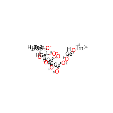 [O]=[GeH][O-].[O]=[GeH][O-].[O]=[GeH][O-].[O]=[GeH][O-].[O]=[GeH][O-].[TeH4+2].[Tm+3]